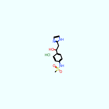 CS(=O)(=O)Nc1ccc(C(O)Cc2ncc[nH]2)cc1.Cl